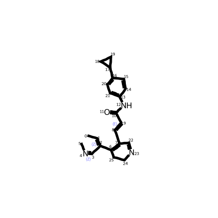 C/C=C(\C=N/C)C1=C(/C=C/C(=O)Nc2ccc(C3CC3)cc2)C=NCC1